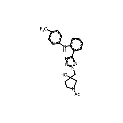 CC(=O)N1CCC(O)(Cn2nnc(-c3ccccc3Nc3ccc(C(F)(F)F)cc3)n2)C1